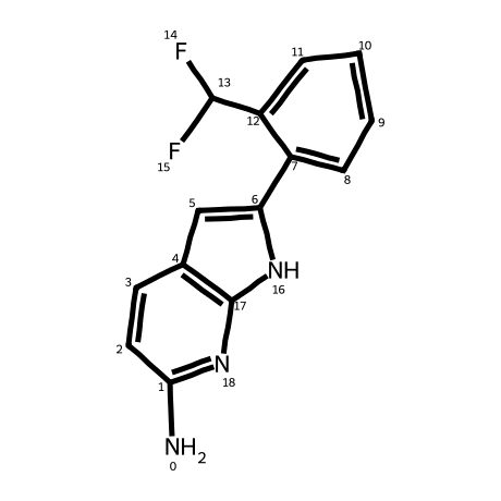 Nc1ccc2cc(-c3ccccc3C(F)F)[nH]c2n1